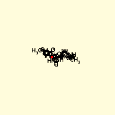 COc1ccc2c(c1)C(=O)N(C[C@@]1(c3cc4nc(NS(C)(=O)=O)ccc4o3)NC(=O)NC1=O)C2